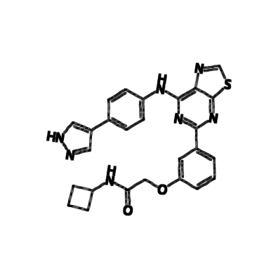 O=C(COc1cccc(-c2nc(Nc3ccc(-c4cn[nH]c4)cc3)c3ncsc3n2)c1)NC1CCC1